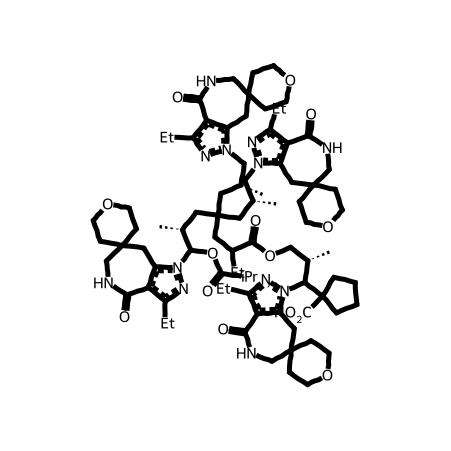 CCc1nn(C[C@H](C)CC(CC(CC)C(=O)OC[C@H](C)C(n2nc(CC)c3c2CC2(CCOCC2)CNC3=O)C2(C(=O)O)CCCC2)(C[C@@H](C)Cn2nc(CC)c3c2CC2(CCOCC2)CNC3=O)C[C@@H](C)C(OC(=O)C(C)C)n2nc(CC)c3c2CC2(CCOCC2)CNC3=O)c2c1C(=O)NCC1(CCOCC1)C2